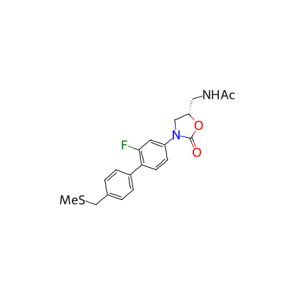 CSCc1ccc(-c2ccc(N3C[C@H](CNC(C)=O)OC3=O)cc2F)cc1